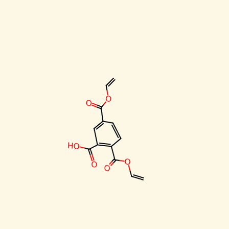 C=COC(=O)c1ccc(C(=O)OC=C)c(C(=O)O)c1